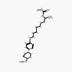 CCCCCCCC[C@H]1CC[C@H](c2ccc(OCCCCCCCC(C)OC(=O)CCCCCC)cc2)CC1